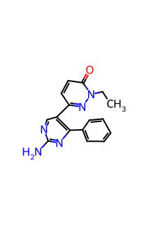 CCn1nc(-c2cnc(N)nc2-c2ccccc2)ccc1=O